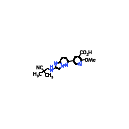 COc1ncc(-c2ccc3nc(NCC(C)(C)C#N)cn3n2)cc1C(=O)O